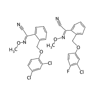 CON=C(C#N)c1ccccc1COc1ccc(Cl)cc1Cl.CON=C(C#N)c1ccccc1COc1ccc(F)c(Cl)c1